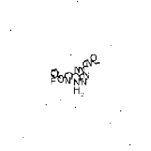 C=CC(=O)n1ccc(-n2nc(-c3ccc(Oc4ccccc4F)nc3)c3c(N)ncnc32)c1